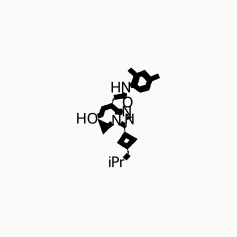 Cc1ccc(NC(=O)C[C@@H](CCO)c2nnc([C@H]3C[C@@H](CC(C)C)C3)n2C2CC2)c(C)c1